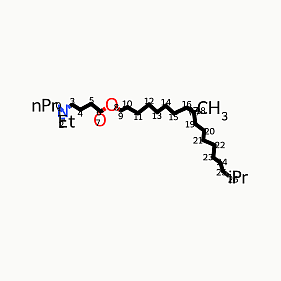 CCCN(CC)CCCC(=O)OCCCCCCCC[C@@H](C)CCCCCCCC(C)C